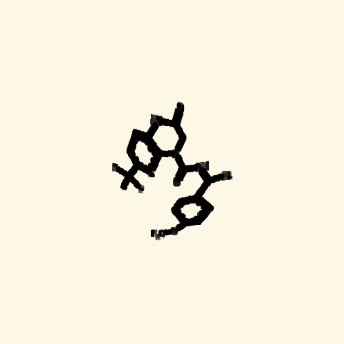 CCC(NC(=O)N1CC(=O)Nc2ccc(C(C)(F)F)nc21)c1ccc(OC(F)(F)F)cc1